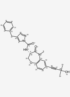 CN1C(=O)[C@@H](NC(=O)n2cc(Cc3ccccc3)cn2)COc2ccc(C#CC(C)(C)O)cc21